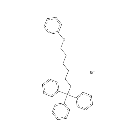 [Br-].c1ccc(OCCCCCC[P+](c2ccccc2)(c2ccccc2)c2ccccc2)cc1